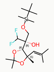 CC(C)=C[C@]1(C)OC(C)(C)O[C@@H]1[C@](O)(CO[Si](C)(C)C(C)(C)C)C(F)F